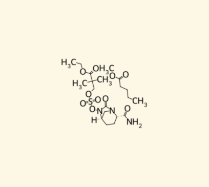 CCCCC(=O)OC.CCOC(=O)C(C)(C)COS(=O)(=O)ON1C(=O)N2C[C@H]1CC[C@H]2C(N)=O